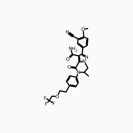 COc1ccc(-c2nn3c(c2C(N)=O)C(=O)N(c2ccc(CCOCC(F)(F)F)cc2)C(C)C3)cc1C#N